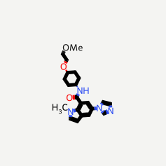 COCCO[C@H]1CC[C@H](NC(=O)c2cc(-n3ccnc3)cc3ccn(C)c23)CC1